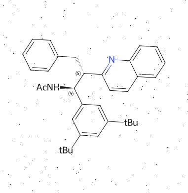 CC(=O)N[C@H](c1cc(C(C)(C)C)cc(C(C)(C)C)c1)[C@H](Cc1ccccc1)c1ccc2ccccc2n1